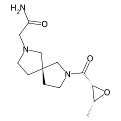 C[C@H]1O[C@H]1C(=O)N1CC[C@]2(CCN(CC(N)=O)C2)C1